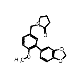 COc1ccc(CN2CCCC2=O)cc1-c1ccc2c(c1)OCO2